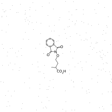 CC(CCON1C(=O)c2ccccc2C1=O)C(=O)O